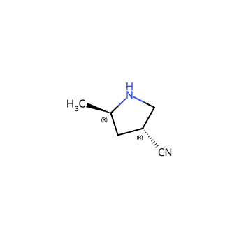 C[C@@H]1C[C@@H](C#N)CN1